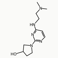 CN(C)CCNc1ccnc(N2CCC(O)C2)n1